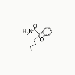 CCCCc1oc2ccccc2c1C(N)=O